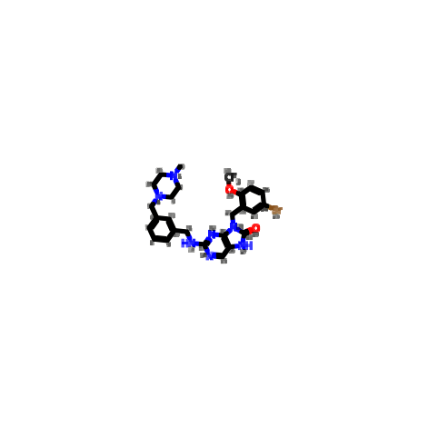 CN1CCN(Cc2cccc(CNc3ncc4[nH]c(=O)n(Cc5cc(Br)ccc5OC(F)(F)F)c4n3)c2)CC1